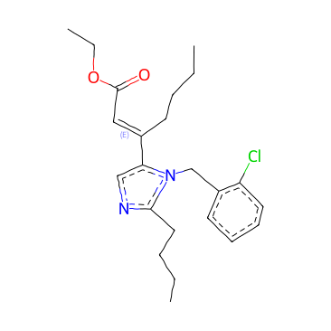 CCCC/C(=C\C(=O)OCC)c1cnc(CCCC)n1Cc1ccccc1Cl